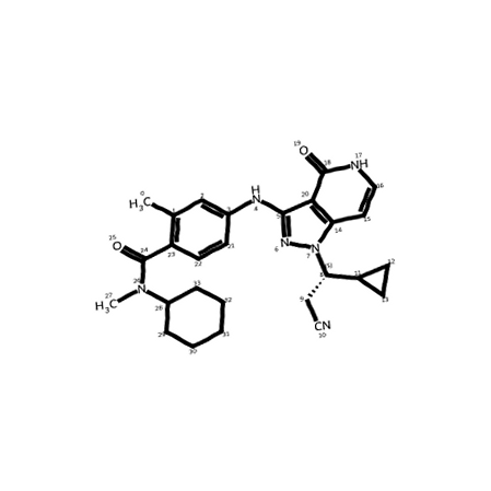 Cc1cc(Nc2nn([C@@H](CC#N)C3CC3)c3cc[nH]c(=O)c23)ccc1C(=O)N(C)C1CCCCC1